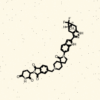 C[C@@]12Cc3[nH]nc(-c4cc5ccc(N6CCC7(CCN(Cc8ccc9c(c8)C(=O)N(C8CCC(=O)NC8=O)C9=O)CC7)C6=O)cc5[nH]4)c3C[C@@H]1C2(F)F